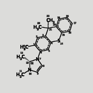 Cc1cc2c(cc1N1C=CN(C)[C@@H]1C)Sc1ccccc1C2(C)C